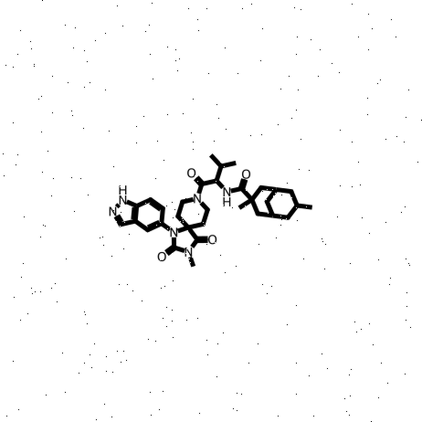 CC1CC2CC(C1)CC(C)(C(=O)NC(C(=O)N1CCC3(CC1)C(=O)N(C)C(=O)N3c1ccc3[nH]ncc3c1)C(C)C)C2